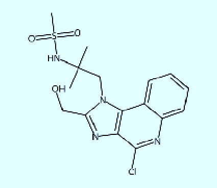 CC(C)(Cn1c(CO)nc2c(Cl)nc3ccccc3c21)NS(C)(=O)=O